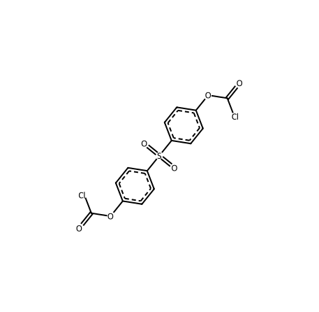 O=C(Cl)Oc1ccc(S(=O)(=O)c2ccc(OC(=O)Cl)cc2)cc1